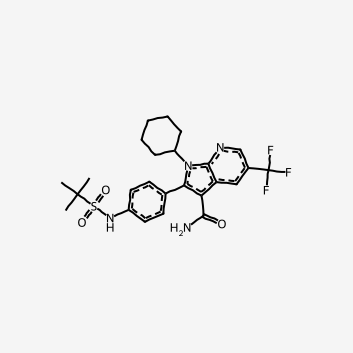 CC(C)(C)S(=O)(=O)Nc1ccc(-c2c(C(N)=O)c3cc(C(F)(F)F)cnc3n2C2CCCCC2)cc1